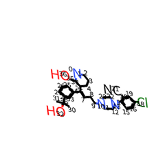 CN1CCCC(/C(=C\CCN2CCN(c3ccc(Cl)cc3C#N)CC2)c2cccc(C(C)(C)O)c2)C1CO